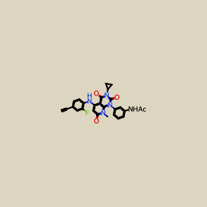 C#Cc1ccc(Nc2cc(=O)n(C)c3c2c(=O)n(C2CC2)c(=O)n3-c2cccc(NC(C)=O)c2)c(F)c1